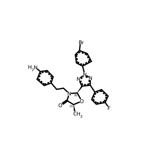 C[C@@H]1O[C@H](c2nn(-c3ccc(Br)cc3)nc2-c2ccc(F)cc2)N(CCc2ccc(N)cc2)C1=O